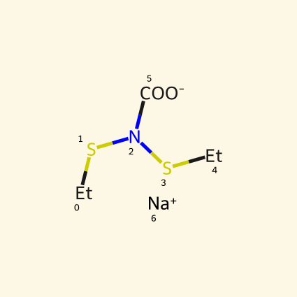 CCSN(SCC)C(=O)[O-].[Na+]